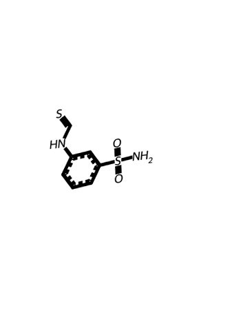 NS(=O)(=O)c1cccc(NC=S)c1